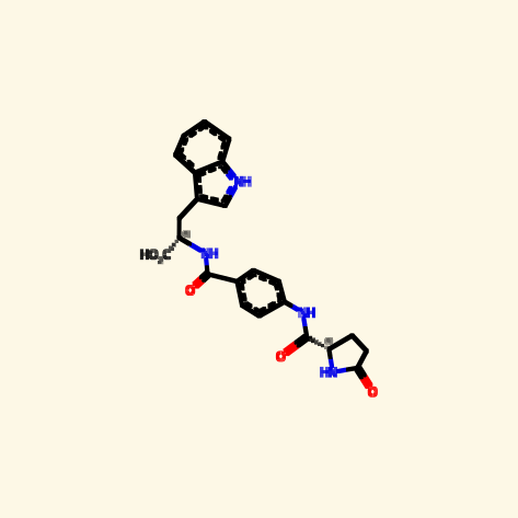 O=C1CC[C@@H](C(=O)Nc2ccc(C(=O)N[C@@H](Cc3c[nH]c4ccccc34)C(=O)O)cc2)N1